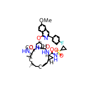 COc1ccc2c(O[C@@H]3C[C@H]4C(=O)N[C@]5(C(=O)NS(=O)(=O)C6CC6)C[C@H]5C=CCC[C@H](C)C[C@@H](C)[C@H](NC(=O)O)C(=O)N4C3)nc(-c3ccc(F)cc3)cc2c1